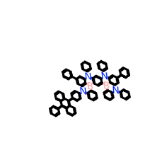 c1ccc(-c2cc3c4c(c2)N(c2ccccc2)c2cc5c(cc2B4c2ccccc2N3c2ccccc2)B2c3ccccc3N(c3ccc(-c4c6ccccc6c(-c6ccccc6)c6ccccc46)cc3)c3cc(-c4ccccc4)cc(c32)N5c2ccccc2)cc1